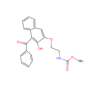 CC(C)(C)OC(=O)NCCOc1cc2ccccc2c(C(=O)c2ccccc2)c1O